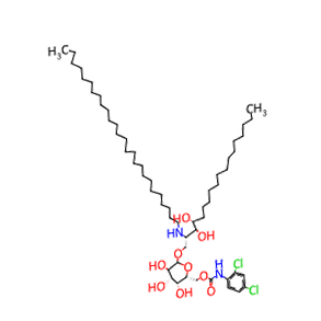 CCCCCCCCCCCCCCCCCCCCCCCCCCN[C@@H](CO[C@H]1O[C@H](COC(=O)Nc2ccc(Cl)cc2Cl)[C@H](O)[C@H](O)[C@H]1O)[C@H](O)[C@H](O)CCCCCCCCCCCCCC